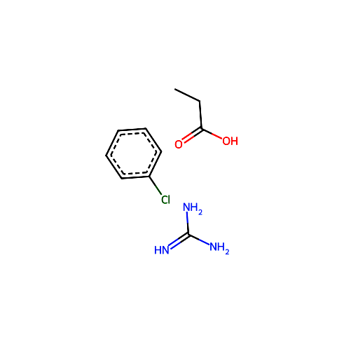 CCC(=O)O.Clc1ccccc1.N=C(N)N